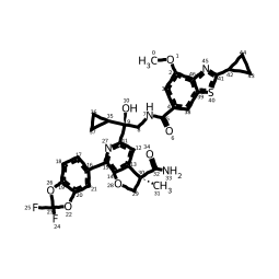 COc1cc(C(=O)NC[C@](O)(c2cc3c(c(-c4ccc5c(c4)OC(F)(F)O5)n2)OC[C@]3(C)C(N)=O)C2CC2)cc2sc(C3CC3)nc12